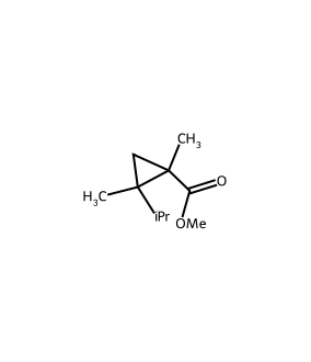 COC(=O)C1(C)CC1(C)C(C)C